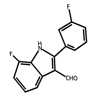 O=Cc1c(-c2cccc(F)c2)[nH]c2c(F)cccc12